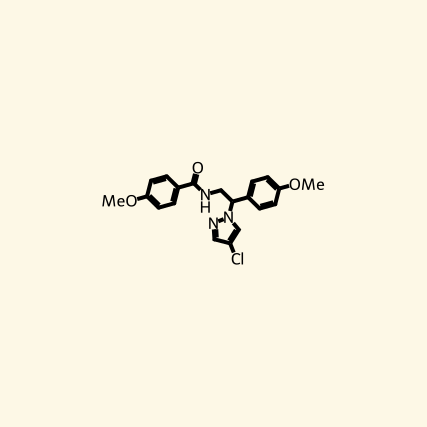 COc1ccc(C(=O)NCC(c2ccc(OC)cc2)n2cc(Cl)cn2)cc1